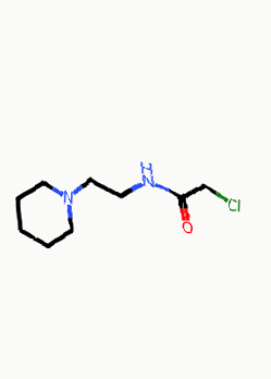 O=C(CCl)NCCN1CCCCC1